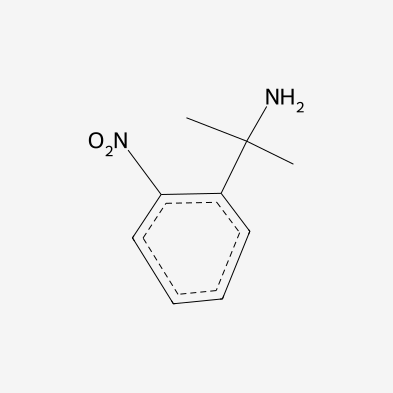 CC(C)(N)c1ccccc1[N+](=O)[O-]